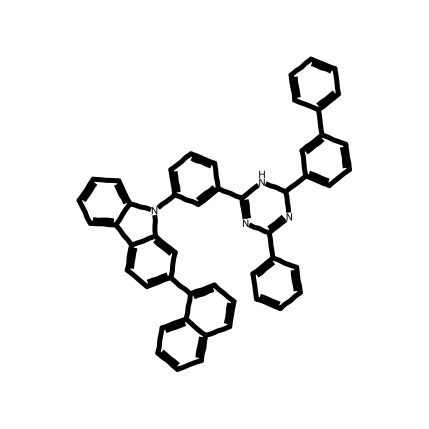 c1ccc(C2=NC(c3cccc(-c4ccccc4)c3)NC(c3cccc(-n4c5ccccc5c5ccc(-c6cccc7ccccc67)cc54)c3)=N2)cc1